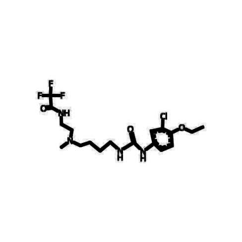 CCOc1ccc(NC(=O)NCCCCN(C)CCNC(=O)C(F)(F)F)cc1Cl